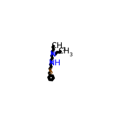 CCCCN(CCCC)CCCNCCCSCc1ccccc1